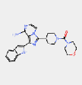 Nc1nccn2c(C3CCN(C(=O)N4CCOCC4)CC3)nc(-c3cc4ccccc4[nH]3)c12